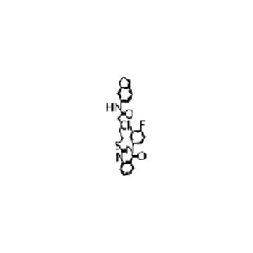 O=C(CCCCSc1nc2ccccc2c(=O)n1-c1ccc(F)c(Cl)c1)Nc1ccc2c(c1)CCC2